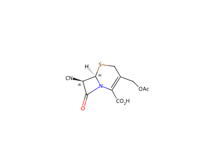 [C-]#[N+][C@@H]1C(=O)N2C(C(=O)O)=C(COC(C)=O)CS[C@H]12